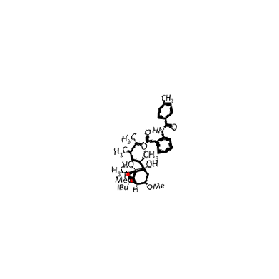 CC[C@@H](C)C1C(C)[C@]2(O)[C@@H](OC)[C@H]1[C@H](OC)C[C@]2(O)[C@H](C)CC(C)[C@H](C)OC(=O)c1ccccc1NC(=O)c1ccc(C)cc1